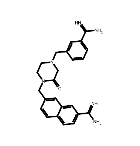 N=C(N)c1cccc(CN2CCN(Cc3ccc4ccc(C(=N)N)cc4c3)C(=O)C2)c1